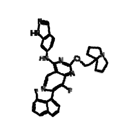 Fc1c(-c2cccc3cccc(F)c23)ncc2c(Nc3ccc4cn[nH]c4c3)nc(OCC34CCCN3CCC4)nc12